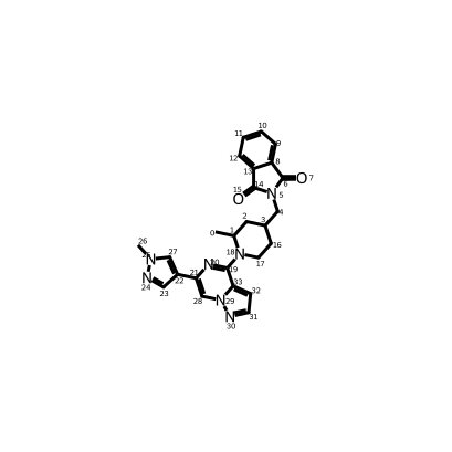 CC1CC(CN2C(=O)c3ccccc3C2=O)CCN1c1nc(-c2cnn(C)c2)cn2nccc12